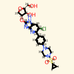 O=S(=O)(C1CC1)N1CCN(c2ccc(-c3nc4nc(O[C@@H]5CO[C@H](CO)[C@H]5O)[nH]c4cc3Cl)cc2)CC1